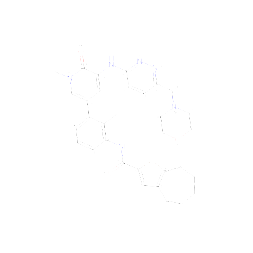 Cc1c(NC(=O)c2cc3c(s2)CCCCC3)cccc1-c1cc(Nc2ccc(CN3CCOCC3)nn2)c(=O)n(C)c1